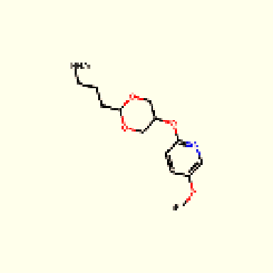 CC(=O)NCCC[C@H]1OC[C@@H](Oc2ccc(OC(C)C)cn2)CO1